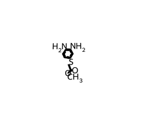 COC(=O)CSc1ccc(N)c(N)c1